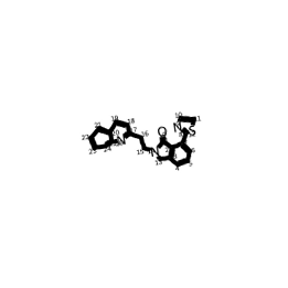 O=C1c2c(cccc2-c2nccs2)CN1CCc1ccc2ccccc2n1